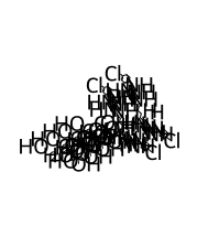 N=C(NCCCCCCNC(=N)NC(=N)Nc1ccc(Cl)cc1)NC(=N)Nc1ccc(Cl)cc1.N=C(NCCCCCCNC(=N)NC(=N)Nc1ccc(Cl)cc1)NC(=N)Nc1ccc(Cl)cc1.O=C(O)[C@H](O)[C@@H](O)[C@H](O)[C@H](O)CO.O=C(O)[C@H](O)[C@@H](O)[C@H](O)[C@H](O)CO.O=C(O)[C@H](O)[C@@H](O)[C@H](O)[C@H](O)CO.O=C(O)[C@H](O)[C@@H](O)[C@H](O)[C@H](O)CO